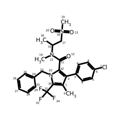 Cc1c(-c2ccc(Cl)cc2)c(C(=O)N(C)C(C)CS(C)(=O)=O)n(Cc2ccccc2)c1C(F)(F)F